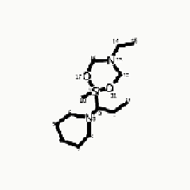 CCC(N1CCCCC1)[Si]1(C)OCN(CC)CO1